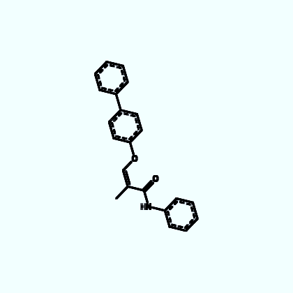 CC(=COc1ccc(-c2ccccc2)cc1)C(=O)Nc1ccccc1